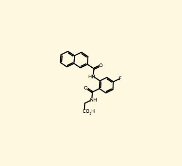 O=C(O)CNC(=O)c1ccc(F)cc1NC(=O)c1ccc2ccccc2c1